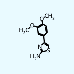 COc1ccc(-c2csc(N)n2)cc1OC